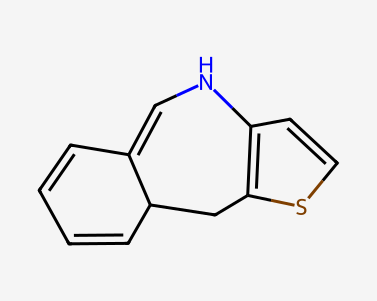 C1=CC2=CNc3ccsc3CC2C=C1